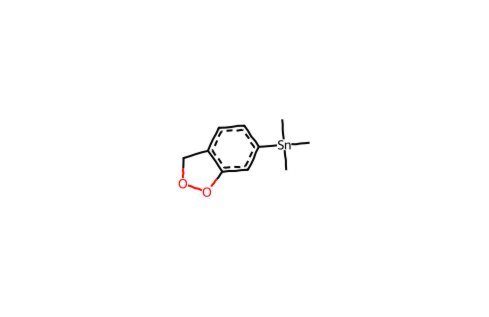 [CH3][Sn]([CH3])([CH3])[c]1ccc2c(c1)OOC2